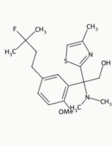 COc1ccc(CCC(C)(C)F)cc1C(CO)(c1nc(C)cs1)N(C)C